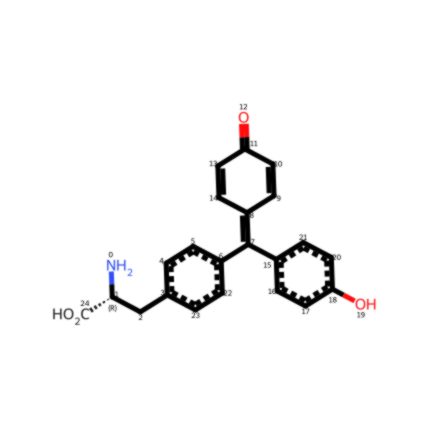 N[C@H](Cc1ccc(C(=C2C=CC(=O)C=C2)c2ccc(O)cc2)cc1)C(=O)O